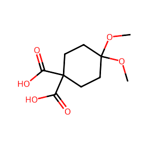 COC1(OC)CCC(C(=O)O)(C(=O)O)CC1